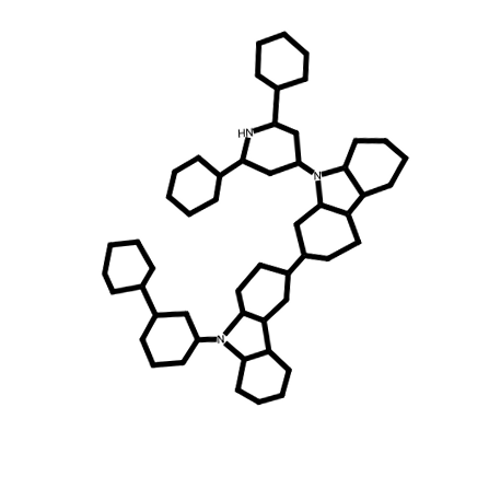 C1CCC(C2CCCC(N3C4CCCCC4C4CC(C5CCC6C7CCCCC7N(C7CC(C8CCCCC8)NC(C8CCCCC8)C7)C6C5)CCC43)C2)CC1